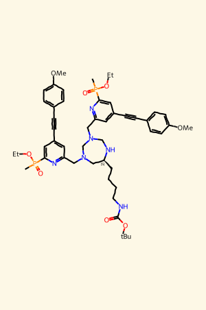 CCOP(C)(=O)c1cc(C#Cc2ccc(OC)cc2)cc(CN2CN[C@@H](CCCCNC(=O)OC(C)(C)C)CN(Cc3cc(C#Cc4ccc(OC)cc4)cc(P(C)(=O)OCC)n3)C2)n1